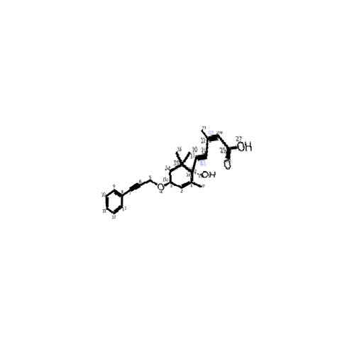 CC1=C[C@@H](OCC#Cc2ccccc2)CC(C)(C)[C@@]1(O)/C=C/C(C)=C\C(=O)O